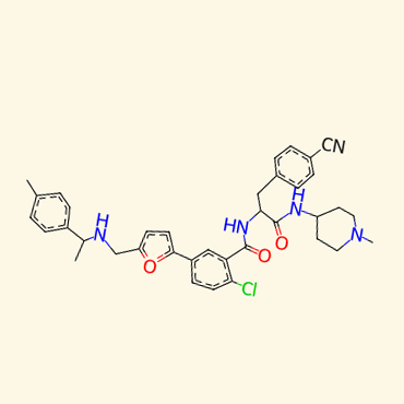 Cc1ccc(C(C)NCc2ccc(-c3ccc(Cl)c(C(=O)NC(Cc4ccc(C#N)cc4)C(=O)NC4CCN(C)CC4)c3)o2)cc1